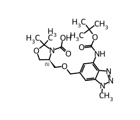 Cn1nnc2c(NC(=O)OC(C)(C)C)cc(COC[C@H]3COC(C)(C)N3C(=O)O)cc21